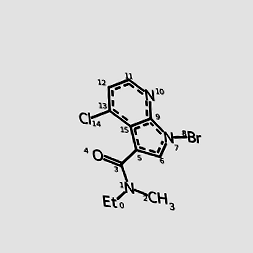 CCN(C)C(=O)c1cn(Br)c2nccc(Cl)c12